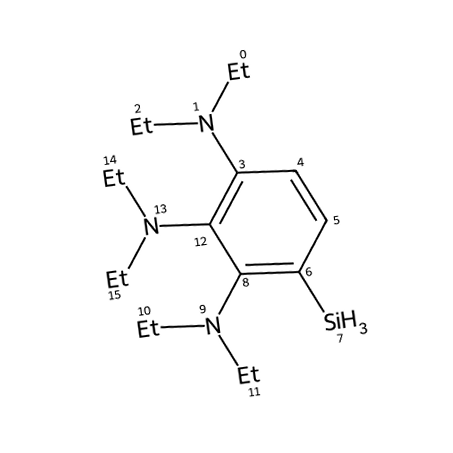 CCN(CC)c1ccc([SiH3])c(N(CC)CC)c1N(CC)CC